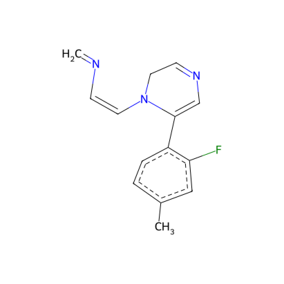 C=N/C=C\N1CC=NC=C1c1ccc(C)cc1F